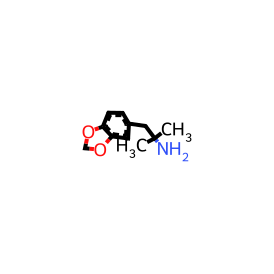 CC(C)(N)Cc1ccc2c(c1)OCO2